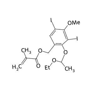 C=C(C)C(=O)OCc1cc(I)c(OC)c(I)c1OC(C)OCC